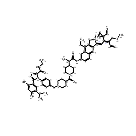 CCNC(=O)c1nnc(-c2cc(C(C)C)c(O)cc2O)n1-c1ccc(CN2CCC(C(=O)N3CCC(N(C)C(=O)Oc4ccc5nc6c(c(CC)c5c4)CN(C)/C6=C\C(=C(/C=O)COC)C4(C=O)CO4)CC3)CC2)cc1